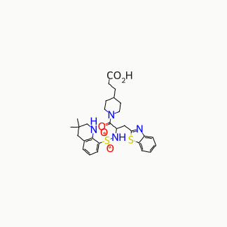 CC1(C)CNc2c(cccc2S(=O)(=O)NC(Cc2nc3ccccc3s2)C(=O)N2CCC(CCC(=O)O)CC2)C1